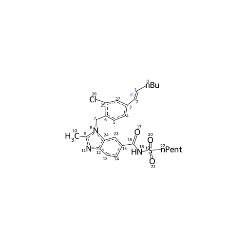 CCCC/C=C/c1ccc(Cn2c(C)nc3ccc(C(=O)NS(=O)(=O)CCCCC)cc32)c(Cl)c1